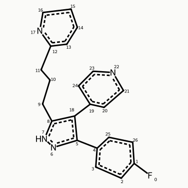 Fc1ccc(-c2n[nH]c(CCCc3ccccn3)c2-c2ccncc2)cc1